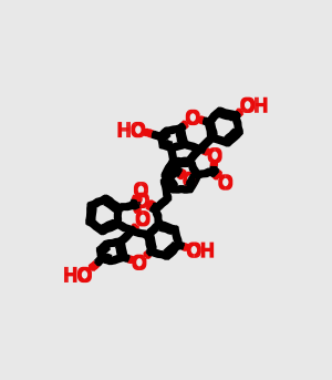 O=C1OC2(c3ccc(O)cc3Oc3cc(O)cc(C(=O)CCC(=O)c4cc(O)cc5c4C4(OC(=O)c6ccccc64)c4ccc(O)cc4O5)c32)c2ccccc21